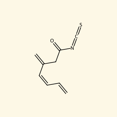 C=C/C=C\C(=C)CC(=O)N=C=S